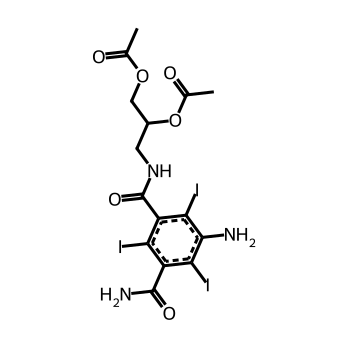 CC(=O)OCC(CNC(=O)c1c(I)c(N)c(I)c(C(N)=O)c1I)OC(C)=O